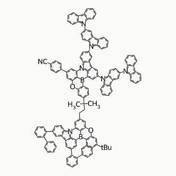 CC(C)(C)c1ccc2c(c1)Oc1cc(CCC(C)(C)c3ccc4c(c3)Oc3cc(-c5ccc(C#N)cc5)cc5c3B4c3cc(-n4c6ccccc6c6cc(-n7c8ccccc8c8ccccc87)ccc64)cc4c6cc(-n7c8ccccc8c8cc(-n9c%10ccccc%10c%10ccccc%109)ccc87)ccc6n-5c34)cc3c1B2c1cc(-c2ccccc2-c2ccccc2)cc2c4cc(-c5ccccc5-c5ccccc5)ccc4n-3c12